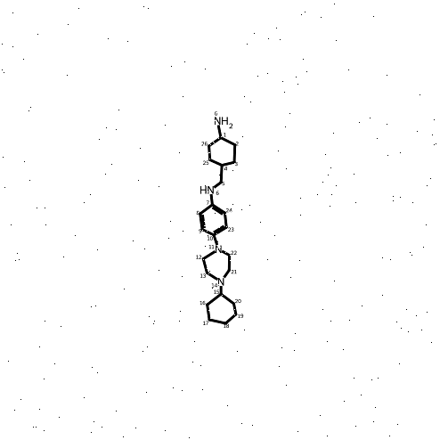 NC1CCC(CNc2ccc(N3CCN(C4CCCCC4)CC3)cc2)CC1